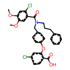 COc1cc(Cl)c(C(=O)N(CCCc2ccccc2)Cc2ccc(Oc3cc(Cl)ccc3C(=O)O)cc2)cc1OC